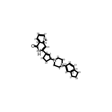 O=c1[nH]c(C2=CC(N3CCN(c4ccc5c(c4)CCC5)CC3)CC2)cc2ncccc12